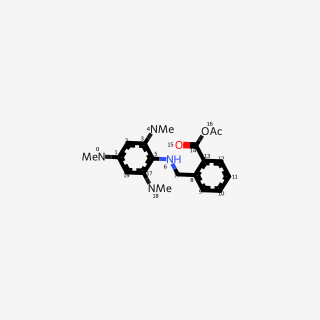 CNc1cc(NC)c(NCc2ccccc2C(=O)OC(C)=O)c(NC)c1